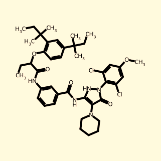 CCC(Oc1ccc(C(C)(C)CC)cc1C(C)(C)CC)C(=O)Nc1cccc(C(=O)Nc2[nH]n(-c3c(Cl)cc(OC)cc3Cl)c(=O)c2N2CCCCC2)c1